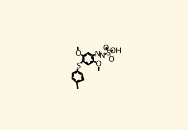 COc1cc(Sc2ccc(C)cc2)c(OC)cc1N=NS(=O)(=O)O